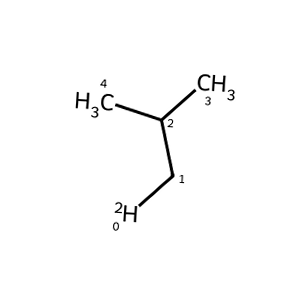 [2H]CC(C)C